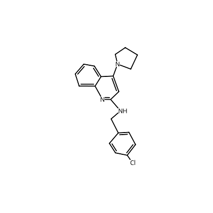 Clc1ccc(CNc2cc(N3CCCC3)c3ccccc3n2)cc1